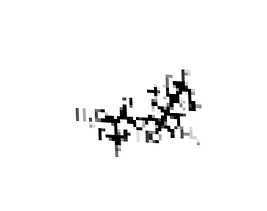 C=C(C(=O)OCC(C)(O)C(F)(F)C(O)(O)C(F)(F)F)C(F)(F)F